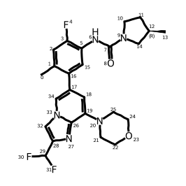 Cc1cc(F)c(NC(=O)N2CC[C@@H](C)C2)cc1-c1cc(N2CCOCC2)c2nc(C(F)F)cn2c1